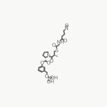 C[C@H](CSC(=O)CNC(=O)CCCN=O)C(=O)N1CCC[C@H]1C(=O)Oc1cccc(CON(O)O)c1